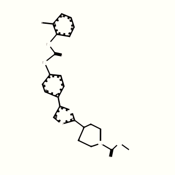 CC(C)(C)OC(=O)N1CCC(c2ncc(-c3ccc(NC(=O)Nc4ccccc4Cl)cc3)s2)CC1